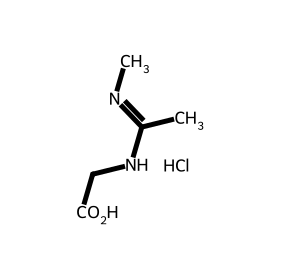 CN=C(C)NCC(=O)O.Cl